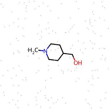 [CH2]N1CCC(CO)CC1